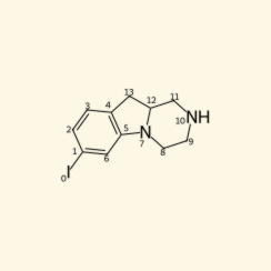 Ic1ccc2c(c1)N1CCNCC1C2